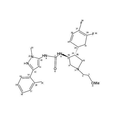 COCCN1C[C@@H](NC(=O)Nc2cc(-c3ccccc3C)nn2C)[C@H](C2C=CC(F)=C(F)C2)C1